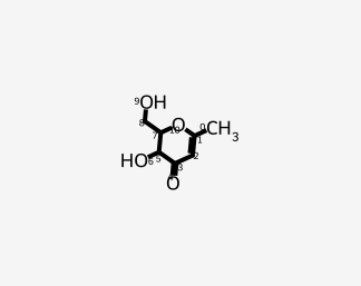 CC1=CC(=O)C(O)C(CO)O1